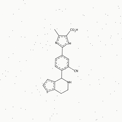 Cc1nc(-c2ccc(C3NCCc4sccc43)c(C#N)c2)[se]c1C(=O)O